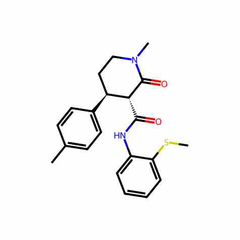 CSc1ccccc1NC(=O)[C@H]1C(=O)N(C)CC[C@@H]1c1ccc(C)cc1